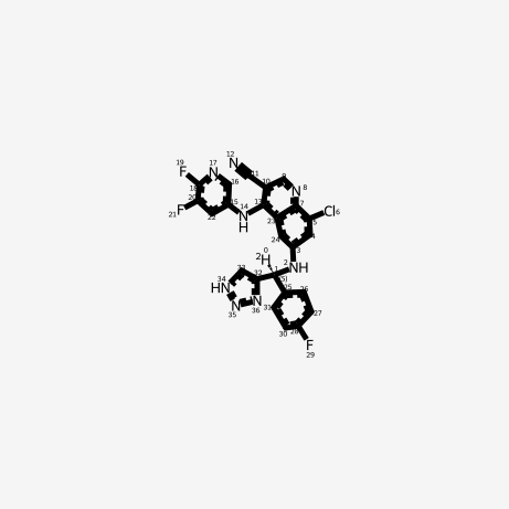 [2H][C@](Nc1cc(Cl)c2ncc(C#N)c(Nc3cnc(F)c(F)c3)c2c1)(c1ccc(F)cc1)c1c[nH]nn1